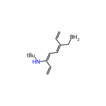 BC/C(C=C)=C/C=C(\C=C)NC(C)(C)C